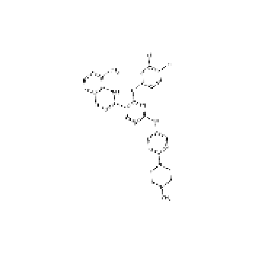 Cc1cccc(C)c1NC(=O)c1cnc(Nc2ccc(N3CCN(C)CC3)cc2)nc1Oc1ccc(Cl)c(Cl)c1